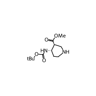 COC(=O)[C@H]1CNCC[C@@H]1NC(=O)OC(C)(C)C